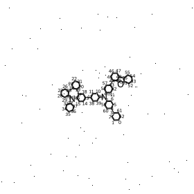 c1ccc(-c2ccc(N(c3ccc(-c4ccc5c(c4)-c4ccccc4-c4ccccc4N5c4ccccc4)cc3)c3ccc(-c4cccc5c4oc4ccccc45)cc3)cc2)cc1